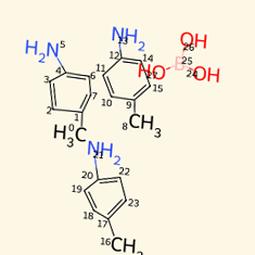 Cc1ccc(N)cc1.Cc1ccc(N)cc1.Cc1ccc(N)cc1.OB(O)O